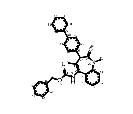 CC1=C(NC(=O)OCc2ccccc2)c2ccccc2N(C)C(=O)C1c1ccc(-c2ccccc2)cc1